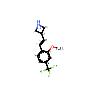 COc1cc(C(F)(F)F)ccc1/C=C/C1CNC1